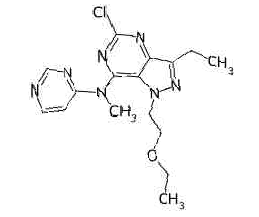 CCOCCn1nc(CC)c2nc(Cl)nc(N(C)c3ccncn3)c21